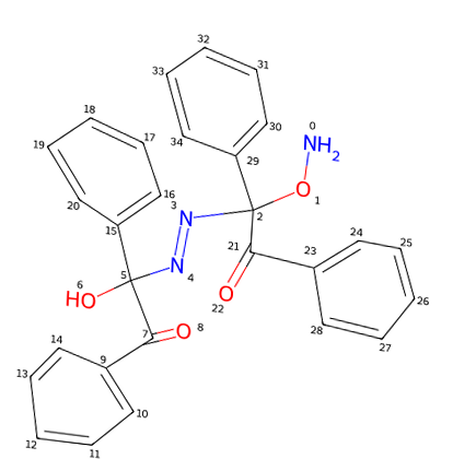 NOC(N=NC(O)(C(=O)c1ccccc1)c1ccccc1)(C(=O)c1ccccc1)c1ccccc1